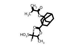 C=C(C)C(=O)OC12CC3CC(C1)CC(C(=O)OC(C)C(F)(F)S(=O)(=O)O)(C3)C2